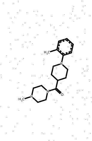 Cc1ccccc1N1CCC(C(=O)N2CCN(C)CC2)CC1